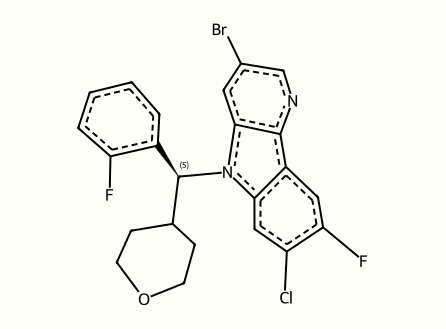 Fc1cc2c3ncc(Br)cc3n([C@H](c3ccccc3F)C3CCOCC3)c2cc1Cl